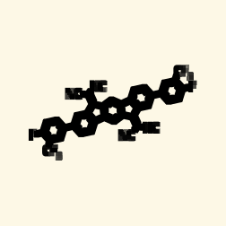 [C-]#[N+]/C(C#N)=C1/c2cc(-c3ccc(F)c(C(F)(F)F)c3)ccc2-c2cc3c(cc21)-c1ccc(-c2ccc(F)c(C(F)(F)F)c2)cc1/C3=C(/C#N)[N+]#[C-]